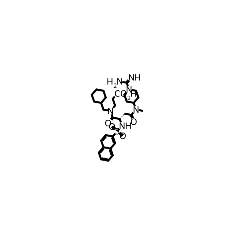 CN(C(=O)C[C@H](NS(=O)(=O)c1ccc2ccccc2c1)C(=O)N(CCC(=O)O)CC1CCCCC1)C1CCN(C(=N)N)CC1